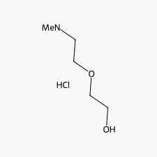 CNCCOCCO.Cl